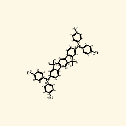 CCc1ccc(N(c2ccc(Br)cc2)c2ccc3c(c2)C(C)(C)c2cc4c(cc2-3)C(C)(C)c2cc(N(c3ccc(Br)cc3)c3ccc(CC)cc3)ccc2-4)cc1